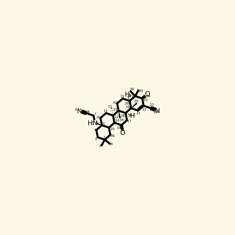 CC1(C)CC[C@]2(NCC#N)CC[C@]3(C)C(C(=O)C[C@@H]4[C@@]5(C)C=C(C#N)C(=O)C(C)(C)[C@@H]5CC[C@]43C)C2C1